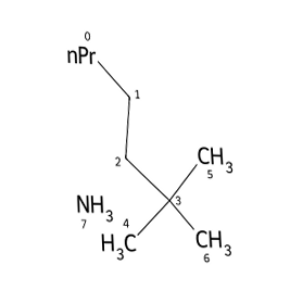 CCCCCC(C)(C)C.N